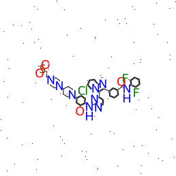 COc1cc(N2CCC(N3CCN(CCS(C)(=O)=O)CC3)CC2)c(Cl)cc1Nc1nccc(-c2c(-c3cccc(C(=O)Nc4c(F)cccc4F)c3)nc3ccccn23)n1